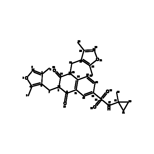 Cc1noc(C)c1Cn1c(=O)c2cc(S(=O)(=O)NC3(C)CC3)ccc2n(Cc2c(C)noc2C)c1=O